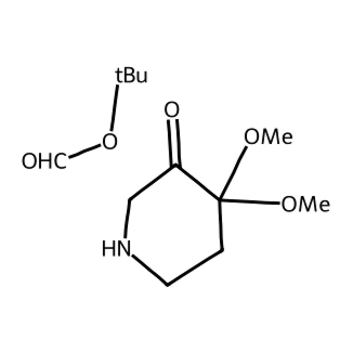 CC(C)(C)OC=O.COC1(OC)CCNCC1=O